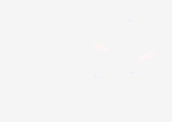 Cc1cc2[nH]c(=O)c(C#N)c(O)c2n1-c1ccc(-c2ccsc2)cc1